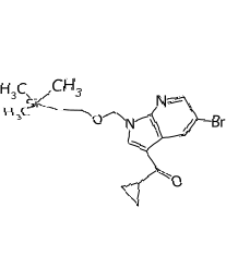 C[Si](C)(C)CCOCn1cc(C(=O)C2CC2)c2cc(Br)cnc21